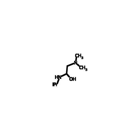 CC(C)NC(O)CN(C)C